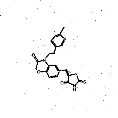 Cc1ccc(CCN2C(=O)COc3ccc(/C=C4/SC(=S)NC4=O)cc32)cc1